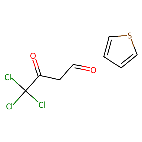 O=CCC(=O)C(Cl)(Cl)Cl.c1ccsc1